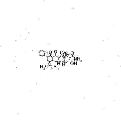 CN(C)c1cc(-c2ccccc2)c(O)c2c1C[C@H]1C[C@H]3CC(O)C(C(N)=O)C(=O)[C@@]3(O)C(O)=C1C2=O